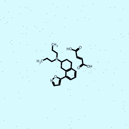 CCCN(CCC)C1CCc2cccc(-c3ccno3)c2C1.O=C(O)C=CC(=O)O